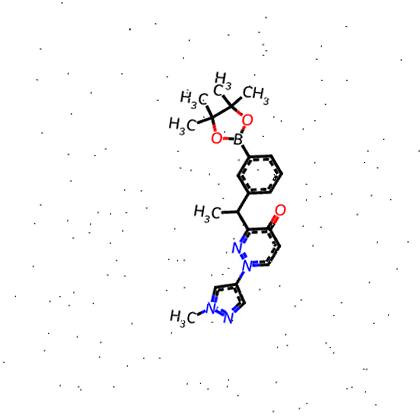 CC(c1cccc(B2OC(C)(C)C(C)(C)O2)c1)c1nn(-c2cnn(C)c2)ccc1=O